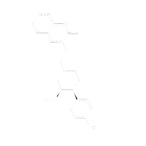 CCOC(=O)[C@H]1CN(CCn2c(=O)[nH]c3ccccc3c2=O)CC[C@H]1c1ccc(OC)cc1